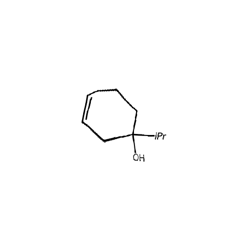 CC(C)C1(O)CC=CCC1